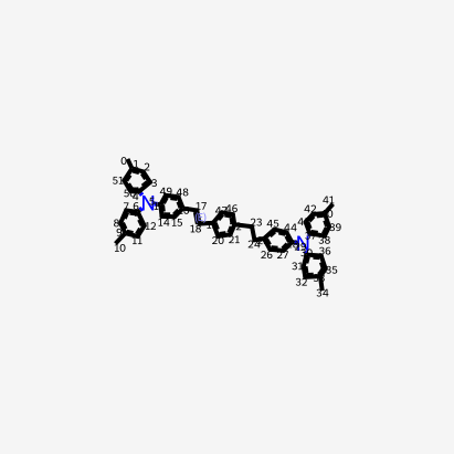 Cc1ccc(N(c2ccc(C)cc2)c2ccc(/C=C/c3ccc(CCc4ccc(N(c5ccc(C)cc5)c5ccc(C)cc5)cc4)cc3)cc2)cc1